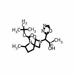 CC1CCC2(CN(C(c3nnco3)[C@@H](C)O)C2=O)N1C(=O)OC(C)(C)C